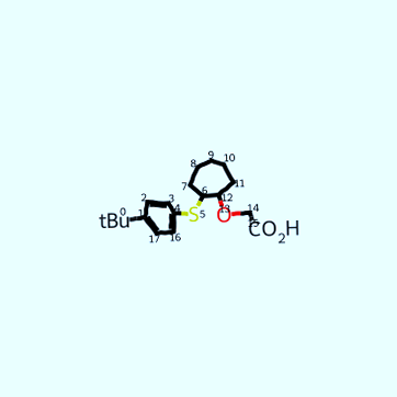 CC(C)(C)c1ccc(SC2CCCCCC2OCC(=O)O)cc1